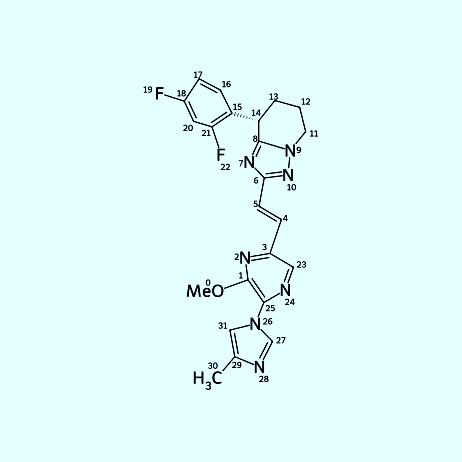 COc1nc(/C=C/c2nc3n(n2)CCC[C@H]3c2ccc(F)cc2F)cnc1-n1cnc(C)c1